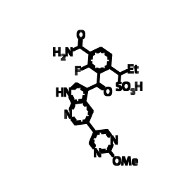 CCC(c1ccc(C(N)=O)c(F)c1C(=O)c1c[nH]c2ncc(-c3cnc(OC)nc3)cc12)S(=O)(=O)O